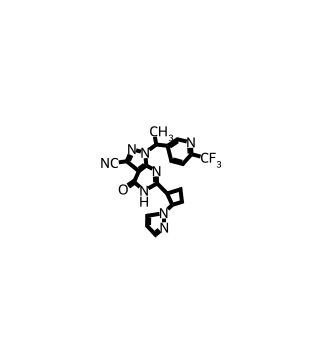 CC(c1ccc(C(F)(F)F)nc1)n1nc(C#N)c2c(=O)[nH]c(C3CCC3n3cccn3)nc21